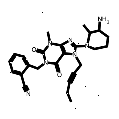 CCC#CCn1c(N2CCCC(N)C2C)nc2c1c(=O)n(Cc1ccccc1C#N)c(=O)n2C